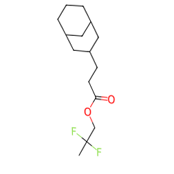 CC(F)(F)COC(=O)CCC1CC2CCCC(C2)C1